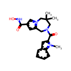 Cn1c(C(=O)N2Cc3cc(C(=O)NO)cn3CC(C)(C)C2)cc2ccccc21